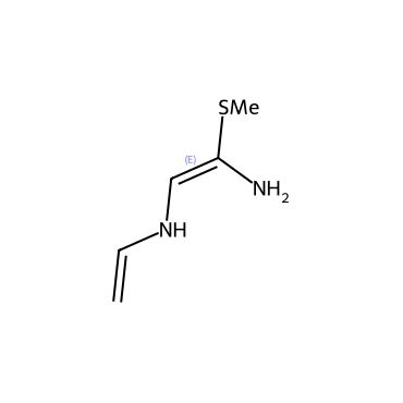 C=CN/C=C(\N)SC